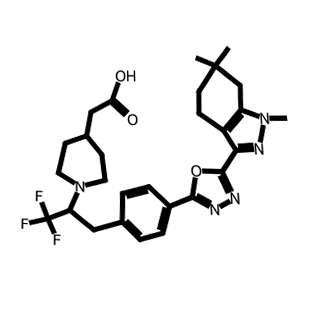 Cn1nc(-c2nnc(-c3ccc(CC(N4CCC(CC(=O)O)CC4)C(F)(F)F)cc3)o2)c2c1CC(C)(C)CC2